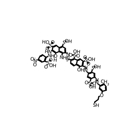 Cc1ccc(OCCCS)cc1N=Nc1cc(SO)c(N=Nc2c(S(=O)(=O)O)cc3c(S(=O)(=O)O)c(N=Nc4cc(SO)c5cc(S(=O)(=O)O)c(NNc6ccc([N+](=O)[O-])cc6S(=O)(=O)O)c(O)c5c4N)ccc3c2O)cc1S(=O)(=O)O